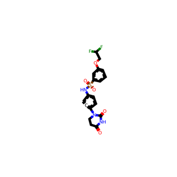 O=C1CCN(c2ccc(NS(=O)(=O)c3cccc(OCC(F)F)c3)cc2)C(=O)N1